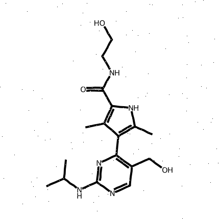 Cc1[nH]c(C(=O)NCCO)c(C)c1-c1nc(NC(C)C)ncc1CO